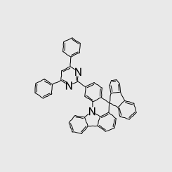 c1ccc(-c2cc(-c3ccccc3)nc(-c3ccc4c(c3)-n3c5ccccc5c5cccc(c53)C43c4ccccc4-c4ccccc43)n2)cc1